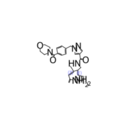 C=C(N)/C=C(C)\C(CNC(=O)c1cnn(Cc2ccc(C(=O)N3CCOCC3)cc2)c1)=C(\C)N